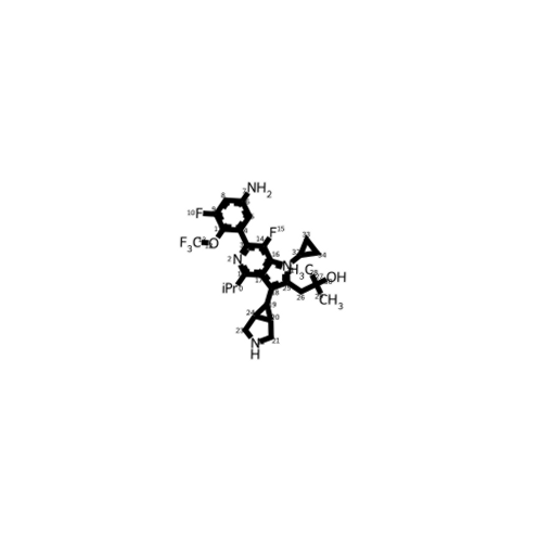 CC(C)c1nc(-c2cc(N)cc(F)c2OC(F)(F)F)c(F)c2c1c(C1C3CNCC31)c(CC(C)(C)O)n2C1CC1